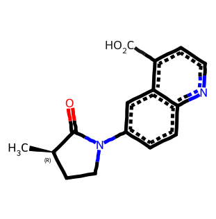 C[C@@H]1CCN(c2ccc3nccc(C(=O)O)c3c2)C1=O